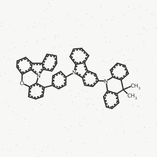 CC1(C)c2ccccc2N(c2ccc3c(c2)c2ccccc2n3-c2ccc(-c3cccc4c3-n3c5ccccc5c5cccc(c53)O4)cc2)c2ccccc21